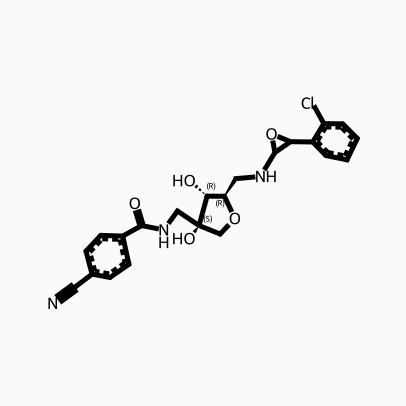 N#Cc1ccc(C(=O)NC[C@]2(O)CO[C@H](CNC3OC3c3ccccc3Cl)[C@H]2O)cc1